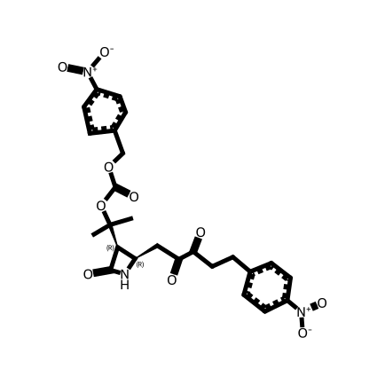 CC(C)(OC(=O)OCc1ccc([N+](=O)[O-])cc1)[C@@H]1C(=O)N[C@@H]1CC(=O)C(=O)CCc1ccc([N+](=O)[O-])cc1